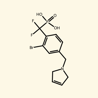 O=P(O)(O)C(F)(F)c1ccc(CN2CC=CC2)cc1Br